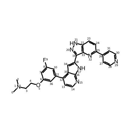 CN(C)CCOc1cc(F)cc(-c2ccnc3[nH]c(-c4n[nH]c5ccc(-c6ccncc6)nc45)cc23)c1